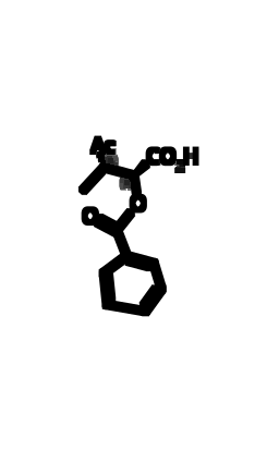 CC(=O)[C@@H](C)[C@H](OC(=O)c1ccccc1)C(=O)O